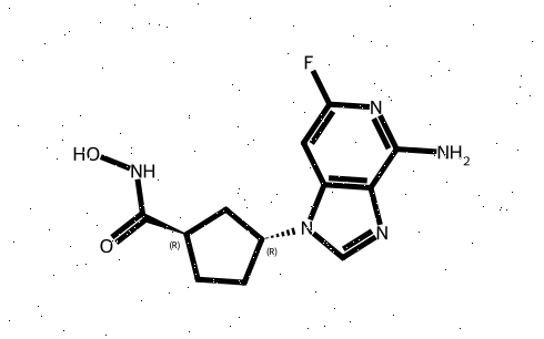 Nc1nc(F)cc2c1ncn2[C@@H]1CC[C@@H](C(=O)NO)C1